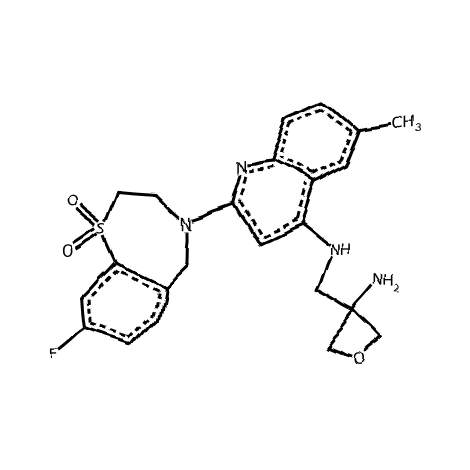 Cc1ccc2nc(N3CCS(=O)(=O)c4cc(F)ccc4C3)cc(NCC3(N)COC3)c2c1